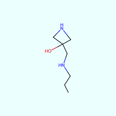 CCCNCC1(O)CNC1